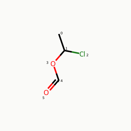 CC(Cl)O[C]=O